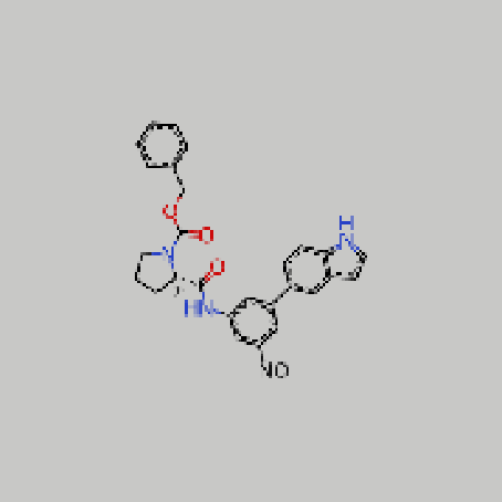 O=Nc1cc(NC(=O)[C@@H]2CCCN2C(=O)OCc2ccccc2)cc(-c2ccc3[nH]ccc3c2)c1